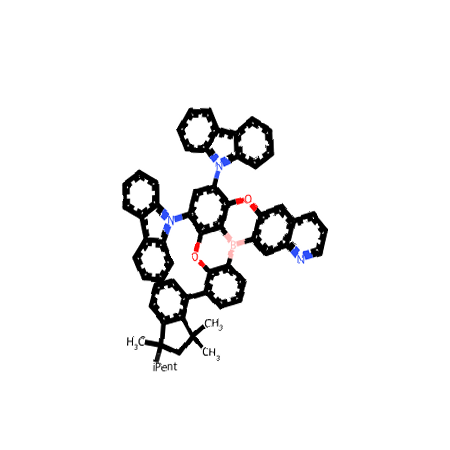 CCCC(C)C1(C)CC(C)(C)c2c(-c3cccc4c3Oc3c(-n5c6ccccc6c6ccccc65)cc(-n5c6ccccc6c6ccccc65)c5c3B4c3cc4ncccc4cc3O5)cccc21